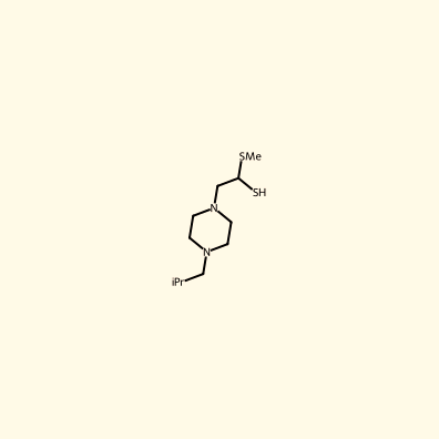 CSC(S)CN1CCN(CC(C)C)CC1